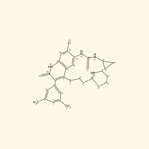 Cc1cc(C)cc(-c2c(SCCC3CCCCN3)c3cc(NC(=O)NC4CC4)c(Cl)cc3[nH]c2=O)c1